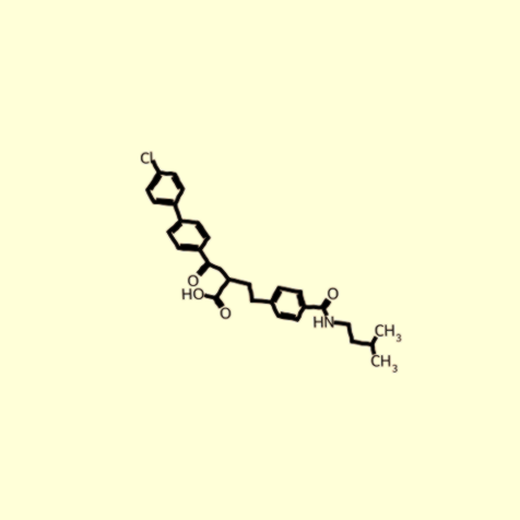 CC(C)CCNC(=O)c1ccc(CCC(CC(=O)c2ccc(-c3ccc(Cl)cc3)cc2)C(=O)O)cc1